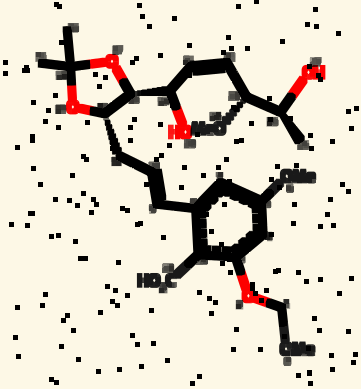 COCOc1cc(OC)cc(/C=C/C[C@@H]2OC(C)(C)O[C@@H]2C(O)/C=C\[C@@H](OC)[C@H](C)O)c1C(=O)O